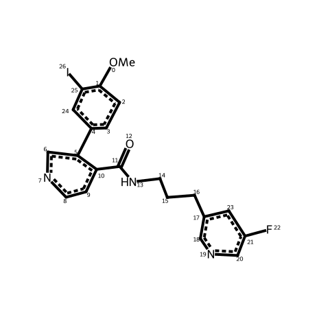 COc1ccc(-c2cnccc2C(=O)NCCCc2cncc(F)c2)cc1I